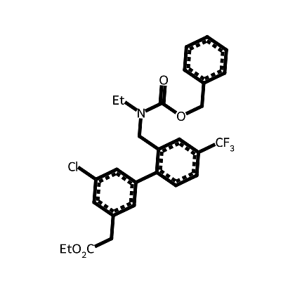 CCOC(=O)Cc1cc(Cl)cc(-c2ccc(C(F)(F)F)cc2CN(CC)C(=O)OCc2ccccc2)c1